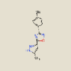 Cc1cc(-c2nc(-c3ccc(C(C)(C)C)cc3)no2)n[nH]1